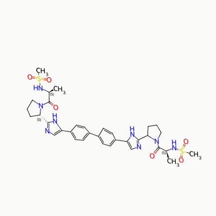 C[C@H](NS(C)(=O)=O)C(=O)N1CCCC1c1ncc(-c2ccc(-c3ccc(-c4cnc([C@@H]5CCCN5C(=O)[C@H](C)NS(C)(=O)=O)[nH]4)cc3)cc2)[nH]1